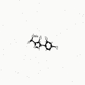 COC(=O)c1snc(-c2ccc(Cl)cc2Cl)c1Cl